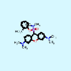 CN(C)c1ccc2c(c1)Oc1cc(N(C)C)ccc1C2P(=O)(Oc1ccccc1C(=O)O)N(C)C